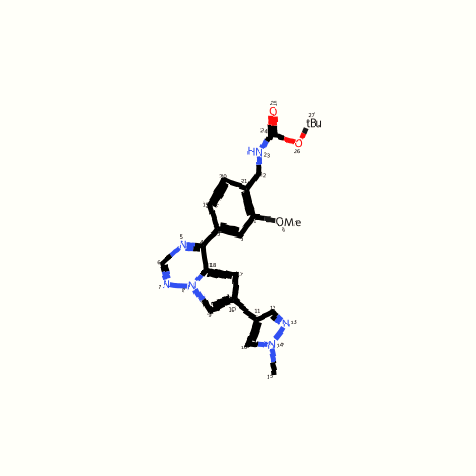 COc1cc(-c2ncnn3cc(-c4cnn(C)c4)cc23)ccc1CNC(=O)OC(C)(C)C